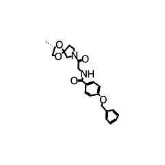 C[C@H]1COC2(CCN(C(=O)CNC(=O)c3ccc(OCc4ccccc4)cc3)C2)O1